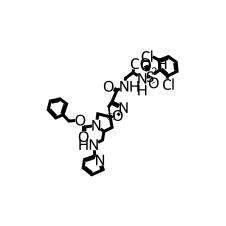 O=C(NCC(NS(=O)(=O)c1c(Cl)cccc1Cl)C(=O)O)C1=NO[C@]2(C1)CC(CNc1ccccn1)N(C(=O)OCc1ccccc1)C2